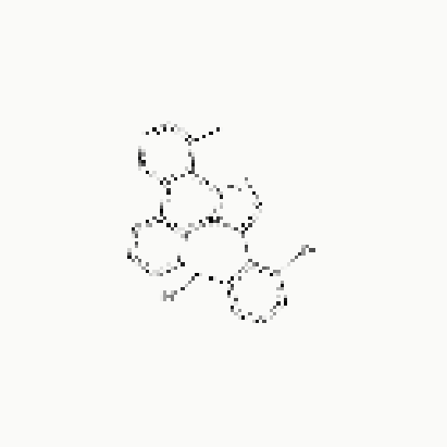 Cc1cccc2c3ccccc3n3c(-c4c(CC(C)C)cccc4C(C)C)cnc3c12